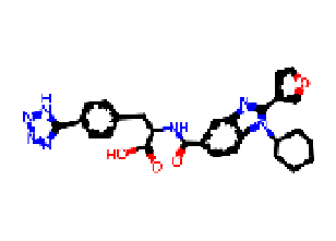 O=C(NC(Cc1ccc(-c2nnn[nH]2)cc1)C(=O)O)c1ccc2c(c1)nc(-c1ccoc1)n2C1CCCCC1